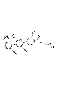 C=Cc1cc(-c2cc(C#N)c(N3CCN(C(=O)CCCOC)C(C4CC4)C3)nc2C2CC2)c(C#N)cn1